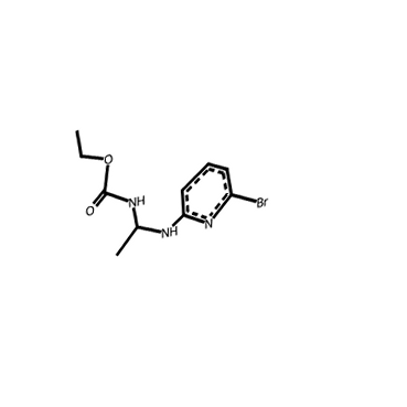 CCOC(=O)NC(C)Nc1cccc(Br)n1